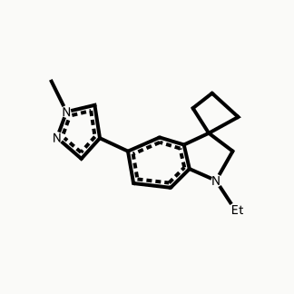 CCN1CC2(CCC2)c2cc(-c3cnn(C)c3)ccc21